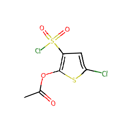 CC(=O)Oc1sc(Cl)cc1S(=O)(=O)Cl